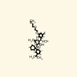 COCCOCCOc1cc(F)cc(C[C@H](NC(C)=O)[C@H](O)CNC2(c3cccc(C(C)C)c3)CCCCC2)c1.Cl